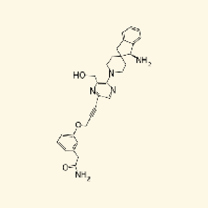 NC(=O)Cc1cccc(OCC#Cc2cnc(N3CCC4(CC3)Cc3ccccc3[C@H]4N)c(CO)n2)c1